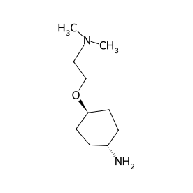 CN(C)CCO[C@H]1CC[C@H](N)CC1